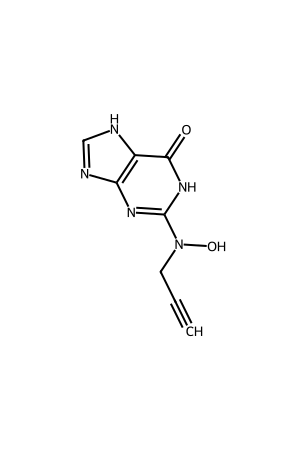 C#CCN(O)c1nc2nc[nH]c2c(=O)[nH]1